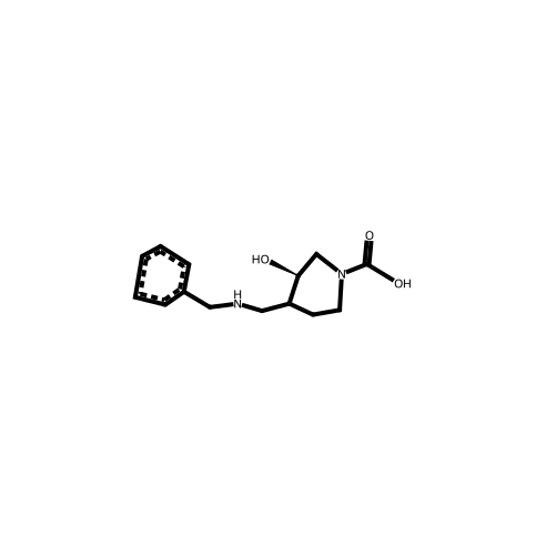 O=C(O)N1CCC(CNCc2ccccc2)[C@@H](O)C1